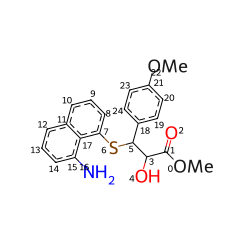 COC(=O)C(O)C(Sc1cccc2cccc(N)c12)c1ccc(OC)cc1